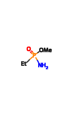 CCP(N)(=O)OC